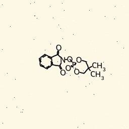 CC1(C)COP(=O)(ON2C(=O)c3ccccc3C2=O)OC1